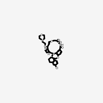 C[C@@H]1CC/C=C/[C@H](OCCN2CCOCC2)[C@@H]2CC[C@H]2CN2C[C@@]3(CCCc4cc(Cl)ccc43)COc3ccc(cc32)C(=O)NS1(=O)=O